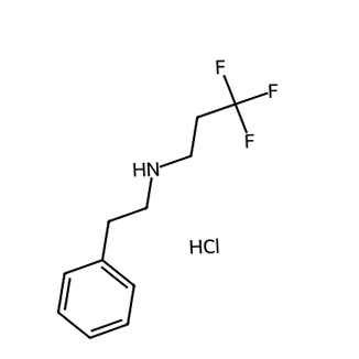 Cl.FC(F)(F)CCNCCc1ccccc1